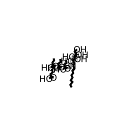 CCCC(=O)O.CCCC(=O)O.CCCC(=O)O.CCCC(=O)O.CCCCCCCC=CNC[C@H](O)[C@@H](O)[C@H](O)[C@H](O)CO